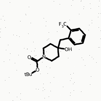 CC(C)(C)OC(=O)N1CCC(O)(Cc2ccccc2C(F)(F)F)CC1